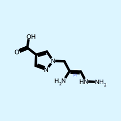 NN/C=C(\N)Cn1cc(C(=O)O)cn1